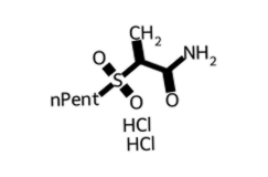 C=C(C(N)=O)S(=O)(=O)CCCCC.Cl.Cl